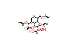 C=COCC1CCC(COC=C)CC1.C=COCCOC=C.OCCO